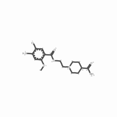 COc1cc(N)c(Cl)cc1C(=O)OCCN1CCC(C(N)=O)CC1